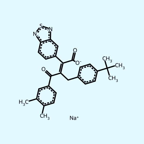 Cc1ccc(C(=O)/C(Cc2ccc(C(C)(C)C)cc2)=C(/C(=O)[O-])c2ccc3nsnc3c2)cc1C.[Na+]